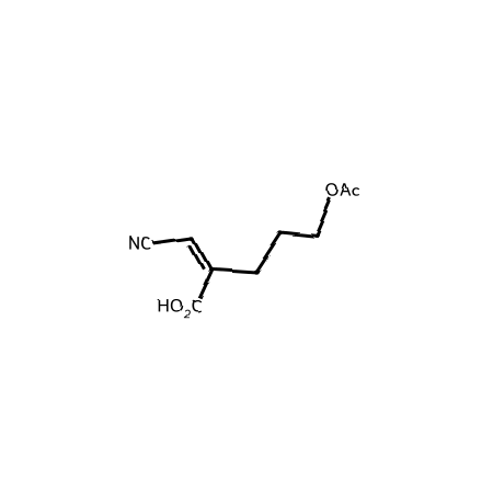 CC(=O)OCCCC(=CC#N)C(=O)O